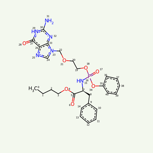 CCCCOC(=O)[C@H](Cc1ccccc1)NP(=O)(OCCOCn1cnc2c(=O)[nH]c(N)nc21)Oc1ccccc1